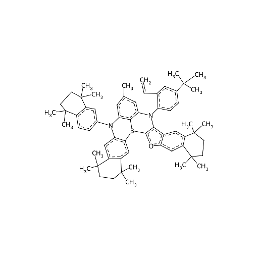 C=Cc1cc(C(C)(C)C)ccc1N1c2cc(C)cc3c2B(c2cc4c(cc2N3c2ccc3c(c2)C(C)(C)CCC3(C)C)C(C)(C)CCC4(C)C)c2oc3cc4c(cc3c21)C(C)(C)CCC4(C)C